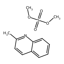 COS(=O)(=O)OC.Cc1ccc2ccccc2n1